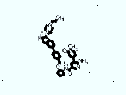 Cn1ccc(-c2cc(C(=O)N[C@H]3CCC[C@@H]3OCc3ccc(-c4ccc5c(c4)CC(F)(F)C5N4CCN(CCO)CC4)cc3)cnc2N)cc1=O